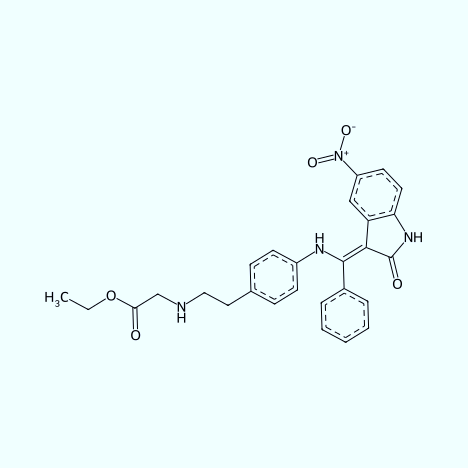 CCOC(=O)CNCCc1ccc(NC(=C2C(=O)Nc3ccc([N+](=O)[O-])cc32)c2ccccc2)cc1